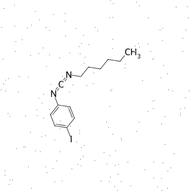 CCCCCCN=C=Nc1ccc(I)cc1